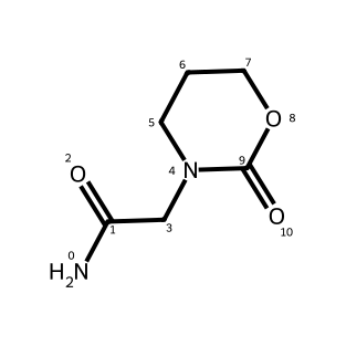 NC(=O)CN1CCCOC1=O